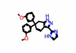 COc1cccc(C2(c3cccc(OC)c3)C=Cc3c(-c4ncc[nH]4)n[nH]c3C2)c1